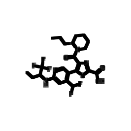 CCC[C@H]1CCCCN1C(=O)c1nc(C(=O)O)sc1-c1cnc(NC(CC)C(F)(F)F)cc1C(F)F